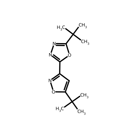 CC(C)(C)c1cc(-c2nnc(C(C)(C)C)o2)no1